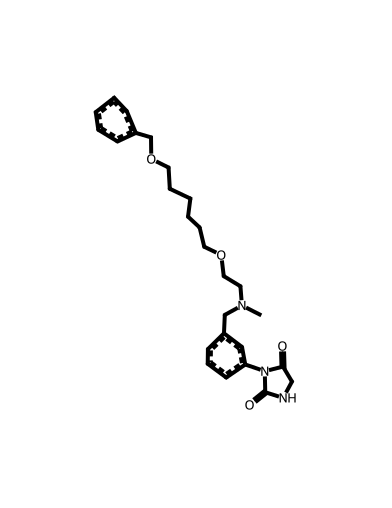 CN(CCOCCCCCCOCc1ccccc1)Cc1cccc(N2C(=O)CNC2=O)c1